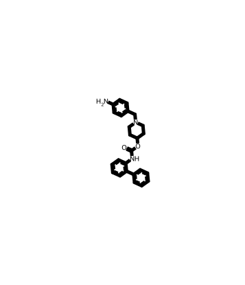 Nc1ccc(CN2CCC(OC(=O)Nc3ccccc3-c3ccccc3)CC2)cc1